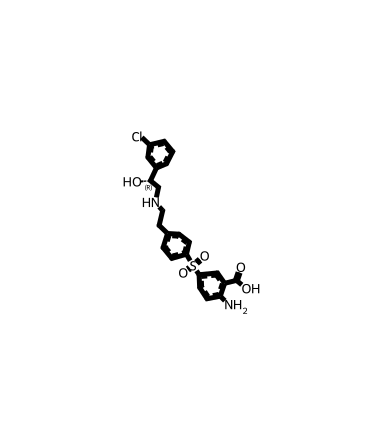 Nc1ccc(S(=O)(=O)c2ccc(CCNC[C@H](O)c3cccc(Cl)c3)cc2)cc1C(=O)O